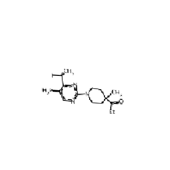 C=C(I)c1nc(N2CCC(C)(C(=O)CC)CC2)ncc1P